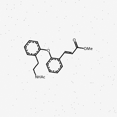 COC(=O)C=Cc1ccccc1Oc1ccccc1CCNC(C)=O